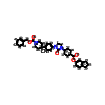 N#CC1(c2ccc(N3CCN(C4CCC(C(=O)Oc5ccc6c(c5)CCC6)CC4)C3=O)cc2)CCN(C(=O)OCc2ccccc2)CC1